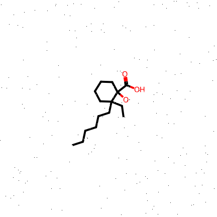 CCCCCCC1(CC)CCCCC1([O])C(=O)O